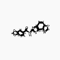 O=C(Nc1nc2ccc3scnc3c2s1)c1ccc2c(c1)OCO2